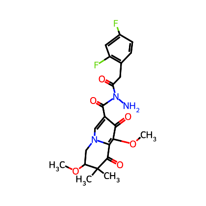 COc1c2n(cc(C(=O)N(N)C(=O)Cc3ccc(F)cc3F)c1=O)CC(OC)C(C)(C)C2=O